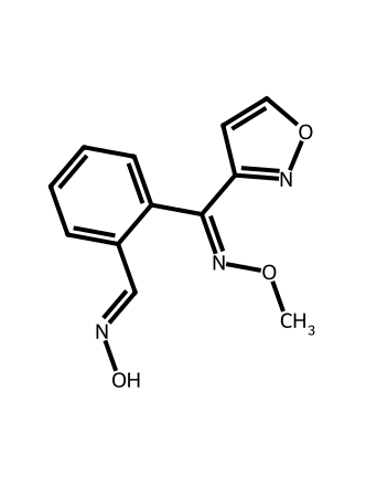 CON=C(c1ccon1)c1ccccc1C=NO